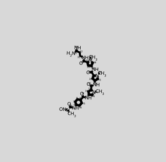 CN(N=O)C(=O)Nc1ccc(C(=O)Nc2cc(C(=O)Nc3cc(C(=O)Nc4cc(C(=O)NCCC(=N)N)n(C)c4)n(C)c3)n(C)c2)cc1